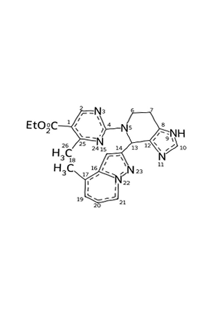 CCOC(=O)c1cnc(N2CCc3[nH]cnc3C2c2cc3c(C)cccn3n2)nc1C